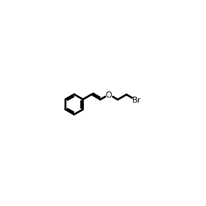 BrCCOC=Cc1ccccc1